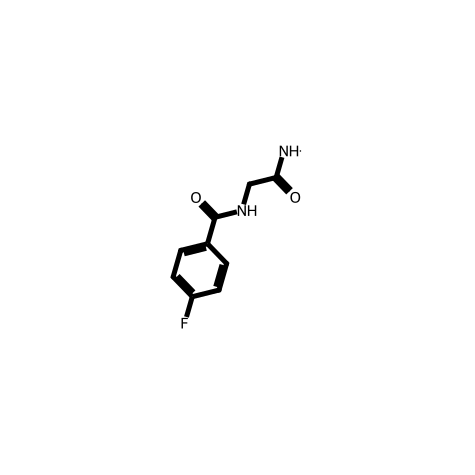 [NH]C(=O)CNC(=O)c1ccc(F)cc1